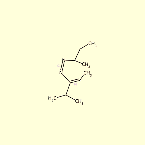 C/C=C(\N=N/C(C)CC)C(C)C